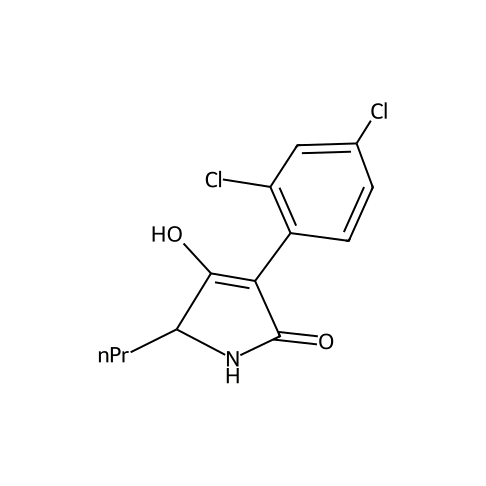 CCCC1NC(=O)C(c2ccc(Cl)cc2Cl)=C1O